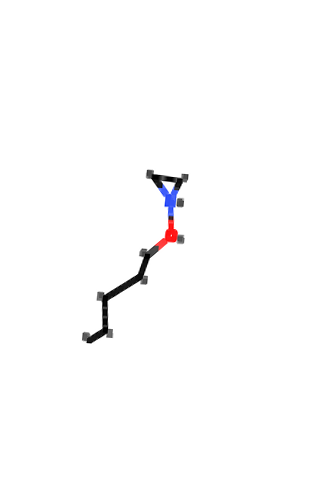 CCCCCON1CC1